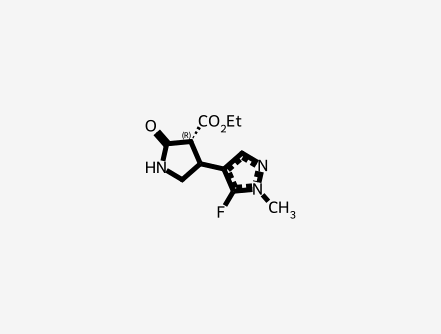 CCOC(=O)[C@H]1C(=O)NCC1c1cnn(C)c1F